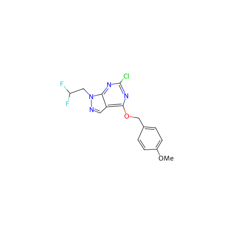 COc1ccc(COc2nc(Cl)nc3c2cnn3CC(F)F)cc1